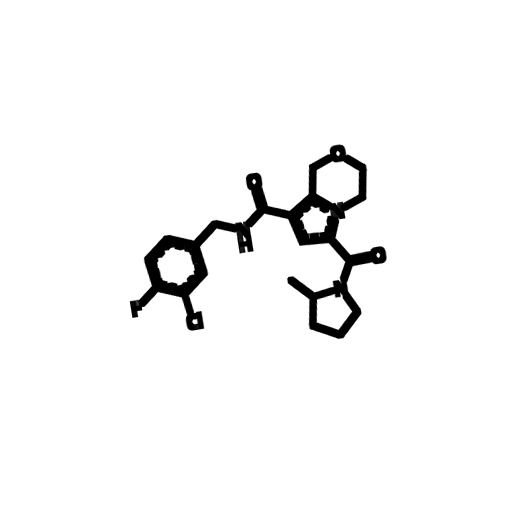 CC1CCCN1C(=O)c1cc(C(=O)NCc2ccc(F)c(Cl)c2)c2n1CCOC2